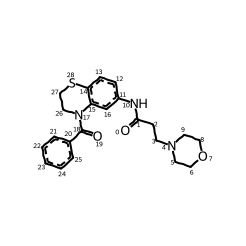 O=C(CCN1CCOCC1)Nc1ccc2c(c1)N(C(=O)c1ccccc1)CCS2